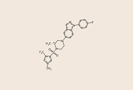 C[C@@H]1CN(c2ccc3c(cnn3-c3ccc(F)cc3)c2)CCN1S(=O)(=O)c1cn(C)cc1C(F)(F)F